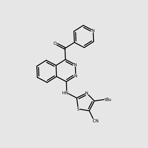 CC(C)(C)c1nc(Nc2nnc(C(=O)c3ccncc3)c3ccccc23)sc1C#N